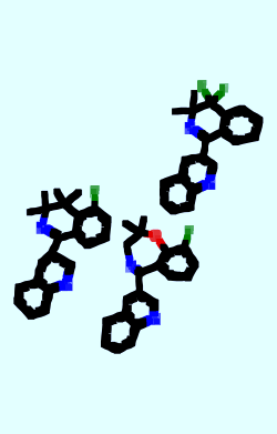 CC1(C)CN=C(c2cnc3ccccc3c2)c2cccc(F)c2O1.CC1(C)N=C(c2cnc3ccccc3c2)c2cccc(F)c2C1(C)C.CC1(C)N=C(c2cnc3ccccc3c2)c2ccccc2C1(F)F